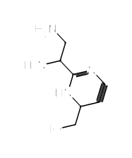 NCC(N)C1=NC#CC(CO)N1